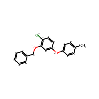 Cc1ccc(Oc2ccc(Cl)c(OCc3ccccc3)c2)cc1